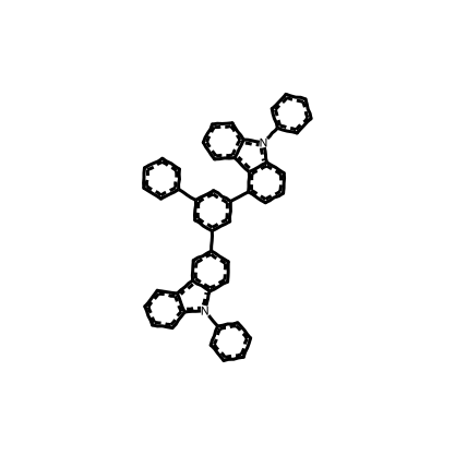 c1ccc(-c2cc(-c3ccc4c(c3)c3ccccc3n4-c3ccccc3)cc(-c3cccc4c3c3ccccc3n4-c3ccccc3)c2)cc1